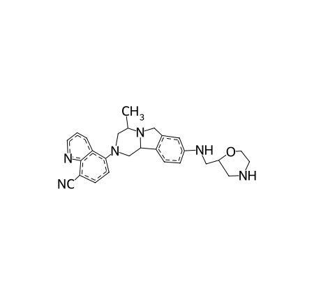 CC1CN(c2ccc(C#N)c3ncccc23)CC2c3ccc(NCC4CNCCO4)cc3CN12